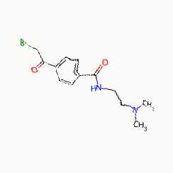 CN(C)CCNC(=O)c1ccc(C(=O)CBr)cc1